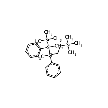 C[Si](C)(C)CC[Si](C)(c1ccccc1)[Si](C)(c1ccccc1)[Si](C)(C)C